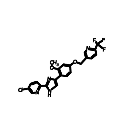 COc1cc(OCc2ccc(C(F)(F)F)nc2)ccc1-c1c[nH]c(-c2ccc(Cl)cn2)n1